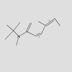 C=C(/C=C\C(C)=C/C)N(C)C(C)(C)C